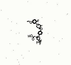 CCOc1ccc(F)c(N2CC[C@@H](Oc3ccc(N4C[C@H](C(F)(F)F)C[C@@H]4CC(=O)O)cc3)[C@@H](C)C2)c1